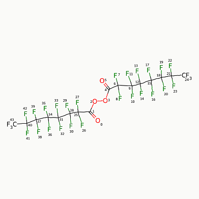 O=C(OOC(=O)C(F)(F)C(F)(F)C(F)(F)C(F)(F)C(F)(F)C(F)(F)C(F)(F)F)C(F)(F)C(F)(F)C(F)(F)C(F)(F)C(F)(F)C(F)(F)C(F)(F)F